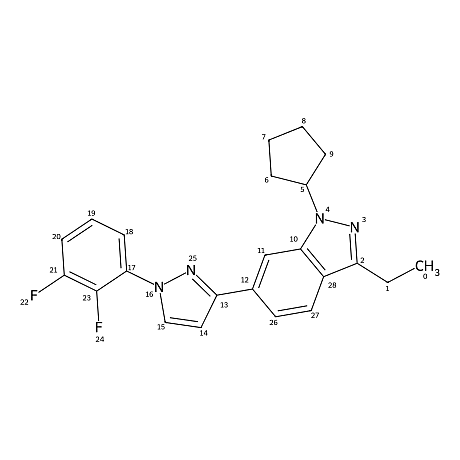 CCc1nn(C2CCCC2)c2cc(-c3ccn(-c4cccc(F)c4F)n3)ccc12